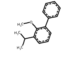 COc1c(-c2ccccc2)cccc1C(C)C